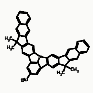 CC(C)(C)c1cc2c3cc4c(cc3n3c5cc6c(cc5c(c1)c23)C(C)(C)c1cc2ccccc2cc1-6)-c1cc2ccccc2cc1C4(C)C